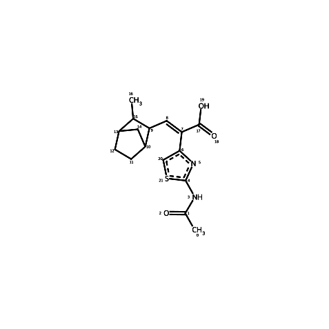 CC(=O)Nc1nc(/C(=C\C2C3CCC(C3)C2C)C(=O)O)cs1